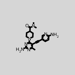 Cc1nc(N)nc(N2CCC(C(=O)N(C)C)CC2)c1C#Cc1ccc(N)nc1